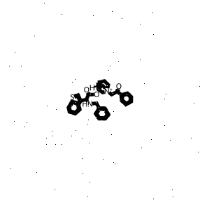 O=C(C[N+]12CCC(CC1)[C@@H](OC(=O)C(NCc1ccccc1)c1csc3ccccc13)C2)c1ccccc1